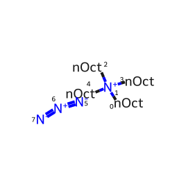 CCCCCCCC[N+](CCCCCCCC)(CCCCCCCC)CCCCCCCC.[N-]=[N+]=[N-]